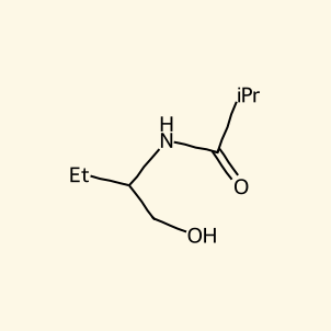 CCC(CO)NC(=O)C(C)C